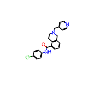 O=C(Nc1ccc(Cl)cc1)c1cccc2c1CCN(Cc1ccncc1)C2